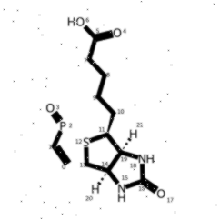 C=CP=O.O=C(O)CCCC[C@@H]1SC[C@@H]2NC(=O)N[C@@H]21